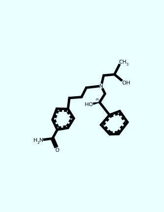 CC(O)CN(CCCc1ccc(C(N)=O)cc1)C[C@H](O)c1ccccc1